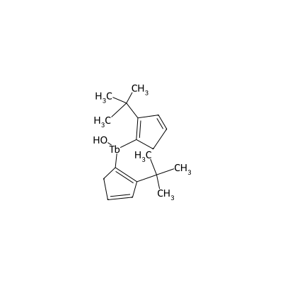 CC(C)(C)C1=[C]([Tb]([OH])[C]2=C(C(C)(C)C)C=CC2)CC=C1